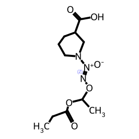 CCC(=O)OC(C)O/N=[N+](\[O-])N1CCCC(C(=O)O)C1